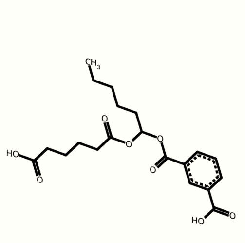 CCCCCC(OC(=O)CCCCC(=O)O)OC(=O)c1cccc(C(=O)O)c1